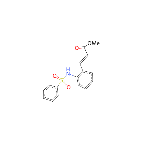 COC(=O)/C=C/c1ccccc1NS(=O)(=O)c1ccccc1